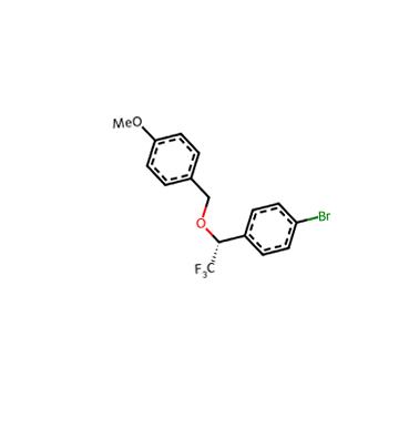 COc1ccc(CO[C@H](c2ccc(Br)cc2)C(F)(F)F)cc1